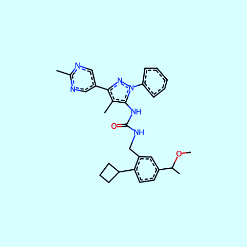 COC(C)c1ccc(C2CCC2)c(CNC(=O)Nc2c(C)c(-c3cnc(C)nc3)nn2-c2ccccc2)c1